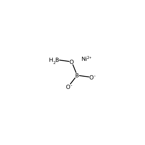 BOB([O-])[O-].[Ni+2]